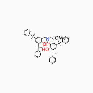 COCCN(Cc1cc(C(C)(C)c2ccccc2)cc(C(C)(C)c2ccccc2)c1O)Cc1cc(C(C)(C)c2ccccc2)cc(C(C)(C)c2ccccc2)c1O